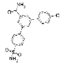 NC(=O)c1cc(-c2ccc(Cl)cc2)cc(-c2ccc(S(N)(=O)=O)cc2)c1